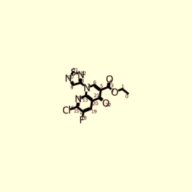 CCOC(=O)c1cn(-c2cnsn2)c2nc(Cl)c(F)cc2c1=O